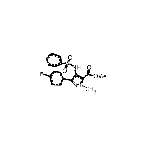 COC(=O)c1c(NS(=O)(=O)c2ccccc2)c(-c2ccc(F)cc2)nn1C